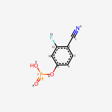 N#Cc1ccc(O[PH](=O)O)cc1F